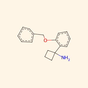 NC1(c2ccccc2OCc2ccccc2)CCC1